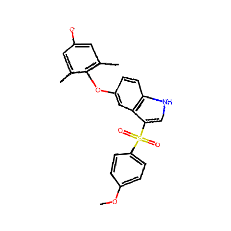 COc1ccc(S(=O)(=O)c2c[nH]c3ccc(Oc4c(C)cc([O])cc4C)cc23)cc1